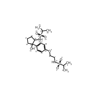 CC(C)S(=O)(=O)NCCOc1ccc(C2(O)CCCC2NS(=O)(=O)C(C)C)cc1